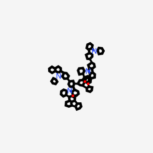 c1ccc(-n2c3ccccc3c3ccc(-c4ccc5c6ccc7ccccc7c6n(-c6ccccc6-c6ccc7c8c(cc(-c9cc(-c%10ccc%11c%12ccc%13ccccc%13c%12n(-c%12ccccc%12)c%11c%10)cc%10c9c9ccccc9n%10-c9ccccc9-c9ccc%10c%11c(cccc9%11)-c9ccccc9-%10)cc68)-c6ccccc6-7)c5c4)cc32)cc1